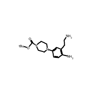 CC(C)(C)OC(=O)N1CCN(c2ccc(N)c(CCN)c2)CC1